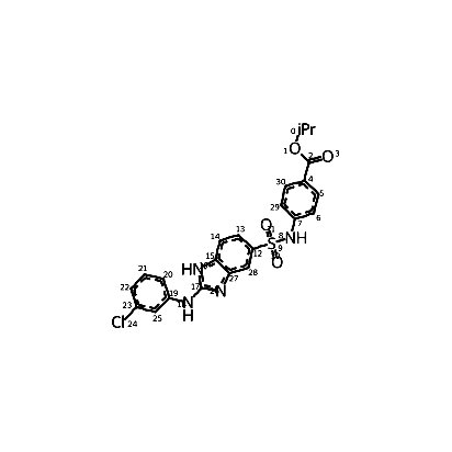 CC(C)OC(=O)c1ccc(NS(=O)(=O)c2ccc3[nH]c(Nc4cccc(Cl)c4)nc3c2)cc1